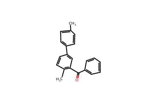 Cc1ccc(-c2ccc(C)c(C(=O)c3ccccc3)c2)cc1